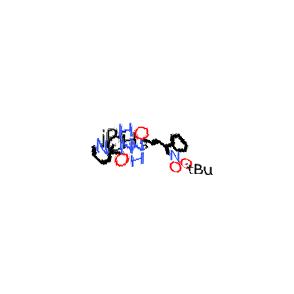 CC(C)N1C=CC=CC1(C)C(=O)NNC(=O)C=Cc1cn(C(=O)OC(C)(C)C)c2ccccc12